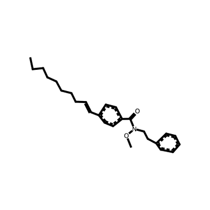 CCCCCCCC/C=C/c1ccc(C(=O)N(CCc2ccccc2)OC)cc1